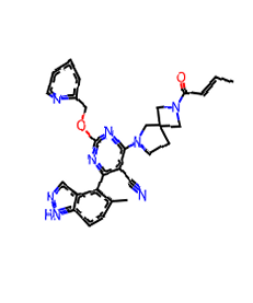 CC=CC(=O)N1CC2(CCN(c3nc(OCc4ccccn4)nc(-c4c(C)ccc5[nH]ncc45)c3C#N)C2)C1